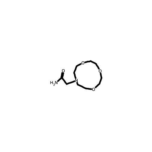 NC(=O)CN1CCOCCOCCOCC1